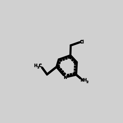 CCc1cc(CCl)cc(N)n1